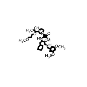 COCCCO[C@@H](C(C)C)[C@@H]1CCCN(c2c(NC(CC3CCCCC3)C(O)CNCc3cc(OC)cc(OC)c3)c(=O)c2=O)C1